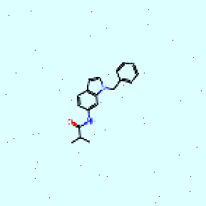 CC(C)C(=O)Nc1ccc2ccn(Cc3ccccc3)c2c1